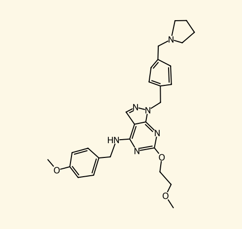 COCCOc1nc(NCc2ccc(OC)cc2)c2cnn(Cc3ccc(CN4CCCC4)cc3)c2n1